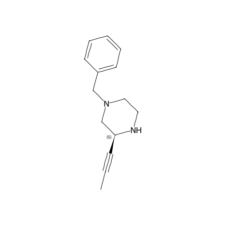 CC#C[C@H]1CN(Cc2ccccc2)CCN1